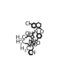 C=CC[C@H](C)N(Cc1ccccn1)S(=O)(=O)NC(=O)c1ccc2c(c1)N(CC1CCC1[C@@H](O)C=C)C[C@@]1(CCCc3cc(Cl)ccc31)CO2